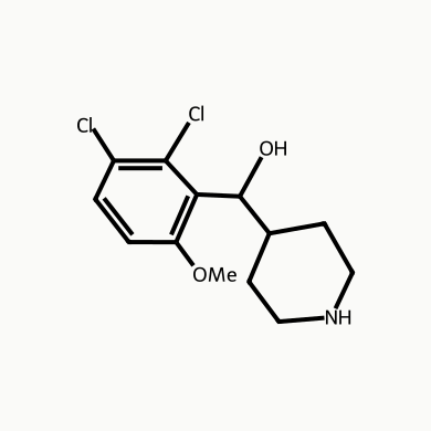 COc1ccc(Cl)c(Cl)c1C(O)C1CCNCC1